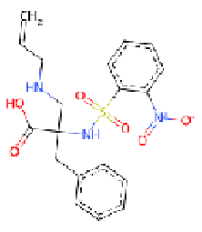 C=CCNCC(Cc1ccccc1)(NS(=O)(=O)c1ccccc1[N+](=O)[O-])C(=O)O